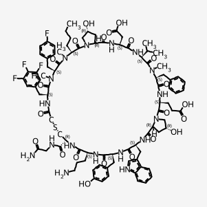 CCCC[C@H]1C(=O)N2C[C@H](O)C[C@@H]2C(=O)N[C@@H](CC(=O)O)C(=O)N[C@@H](C(C)C)C(=O)N(C)[C@@H](Cc2ccccc2)C(=O)N[C@@H](CCC(=O)O)C(=O)N2C[C@H](O)C[C@@H]2C(=O)N[C@@H](Cc2c[nH]c3ccccc23)C(=O)N[C@@H](Cc2ccc(O)cc2)C(=O)N[C@@H](CCCN)C(=O)N[C@H](C(=O)NCC(N)=O)CSCC(=O)N[C@@H](Cc2cc(F)c(F)c(F)c2)C(=O)N(C)[C@@H](Cc2ccc(F)cc2)C(=O)N1C